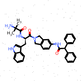 CC(C)(N)C(=O)N[C@H](Cc1c[nH]c2ccccc12)C(=O)N1Cc2ccc(NC(=O)C(c3ccccc3)c3ccccc3)cc2C1